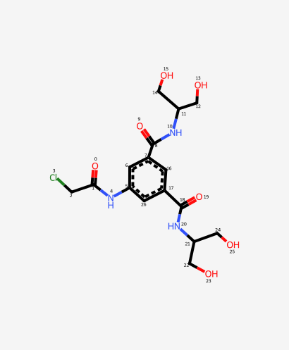 O=C(CCl)Nc1cc(C(=O)NC(CO)CO)cc(C(=O)NC(CO)CO)c1